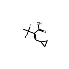 O=C(O)/C(=C\C1CC1)C(F)(F)F